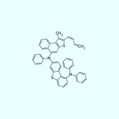 C=C/C=C\c1sc2cc(N(c3ccccc3)c3ccc4c(c3)sc3cccc(N(c5ccccc5)c5ccccc5)c34)c3ccccc3c2c1C